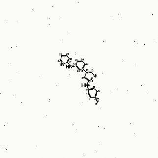 COc1ccc(Nc2cncc(-c3cccc(Nc4ccccn4)c3)c2)cc1